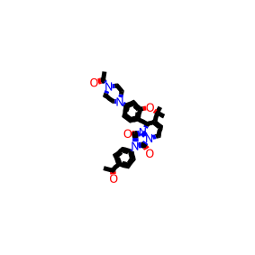 CC(=O)c1ccc(-n2c(=O)n3n(c2=O)C2C(=CC3)C(C)(C)Oc3cc(N4CCN(C(C)=O)CC4)ccc32)cc1